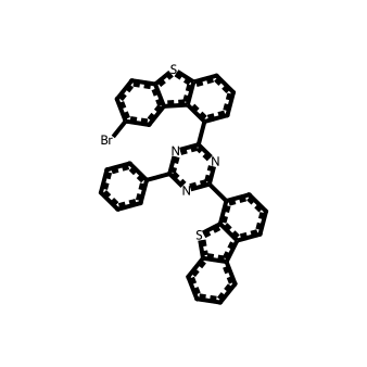 Brc1ccc2sc3cccc(-c4nc(-c5ccccc5)nc(-c5cccc6c5sc5ccccc56)n4)c3c2c1